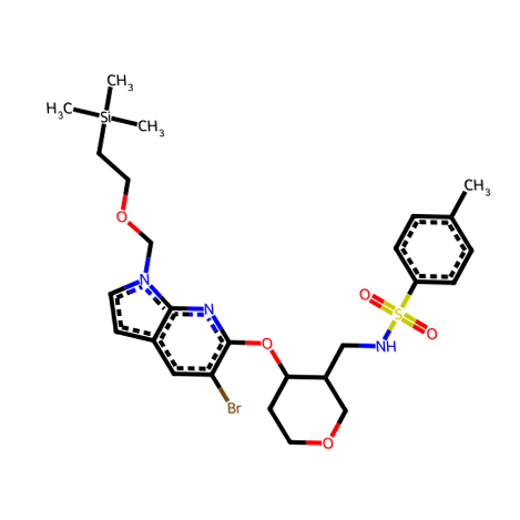 Cc1ccc(S(=O)(=O)NCC2COCCC2Oc2nc3c(ccn3COCC[Si](C)(C)C)cc2Br)cc1